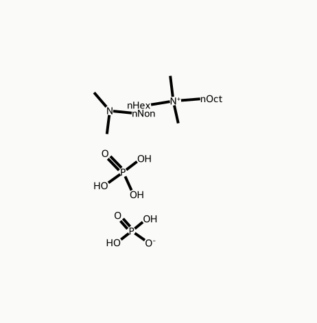 CCCCCCCCCN(C)C.CCCCCCCC[N+](C)(C)CCCCCC.O=P(O)(O)O.O=P([O-])(O)O